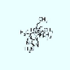 CCCCC[C@@H](O[Si](C)(C)C(C)(C)C)[C@@H](C)n1cnc2c(N)ncnc21